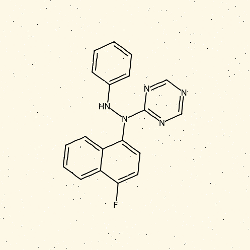 Fc1ccc(N(Nc2ccccc2)c2ncncn2)c2ccccc12